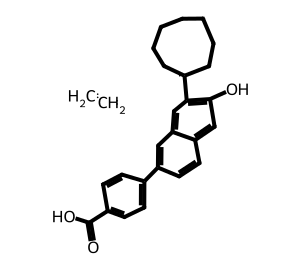 O=C(O)c1ccc(-c2ccc3cc(O)c([C]4CCCCCCC4)cc3c2)cc1.[CH2].[CH2]